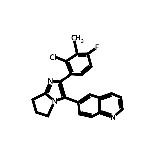 Cc1c(F)ccc(-c2nc3n(c2-c2ccc4ncccc4c2)CCC3)c1Cl